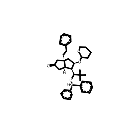 CC(C)(C)C(O[SiH](c1ccccc1)c1ccccc1)[C@H]1[C@H]2CC(=O)C[C@@]2(CCc2ccccc2)C[C@H]1OC1CCCCO1